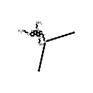 C#CC#CC#CC#CC#CC#CC#CC#CN(C#CC#CC#CC#CC#CC#CC#CC#C)CCC[C@@H](C)[C@H]1CC[C@H]2[C@@H]3[C@H](OCCCN)C[C@@H]4C[C@H](OCCCN)CC[C@]4(C)[C@H]3C[C@H](OCCCN)[C@]12C